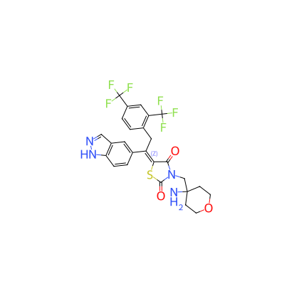 NC1(CN2C(=O)S/C(=C(/Cc3ccc(C(F)(F)F)cc3C(F)(F)F)c3ccc4[nH]ncc4c3)C2=O)CCOCC1